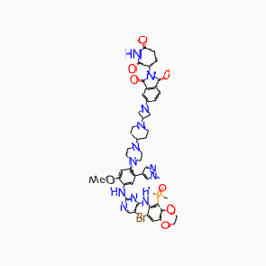 COc1cc(N2CCN(C3CCN(C4CN(c5ccc6c(c5)C(=O)N(C5CCC(=O)NC5=O)C6=O)C4)CC3)CC2)c(-c2cnn(C)c2)cc1Nc1ncc(Br)c(Nc2ccc3c(c2P(C)(C)=O)OCCO3)n1